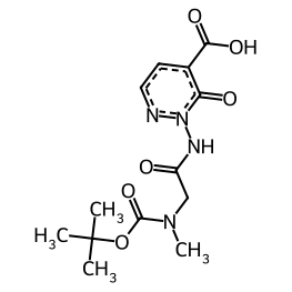 CN(CC(=O)Nn1nccc(C(=O)O)c1=O)C(=O)OC(C)(C)C